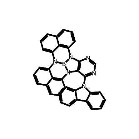 c1cc2c3c(cccc3c1)N1B3N2c2ncnc(-n4c5ccccc5c5ccccc54)c2N3c2cccc3cccc1c23